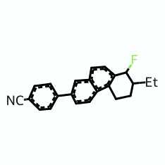 CCC1CCc2c(ccc3cc(-c4ccc(C#N)cc4)ccc23)C1F